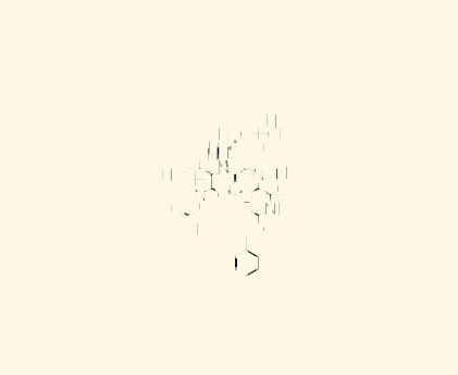 CC(C)[C@H](NC(=O)[C@@H](NC(=O)[C@H](C)NC(=O)OCc1ccccc1)C(C)OC(C)(C)C)C(=O)NCC(=O)O